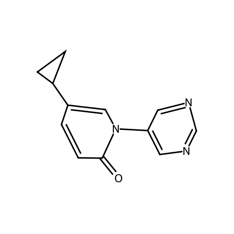 O=c1ccc(C2CC2)cn1-c1cncnc1